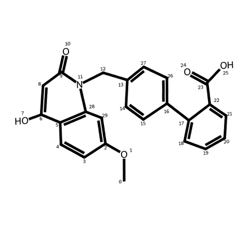 COc1ccc2c(O)cc(=O)n(Cc3ccc(-c4ccccc4C(=O)O)cc3)c2c1